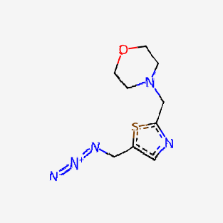 [N-]=[N+]=NCc1cnc(CN2CCOCC2)s1